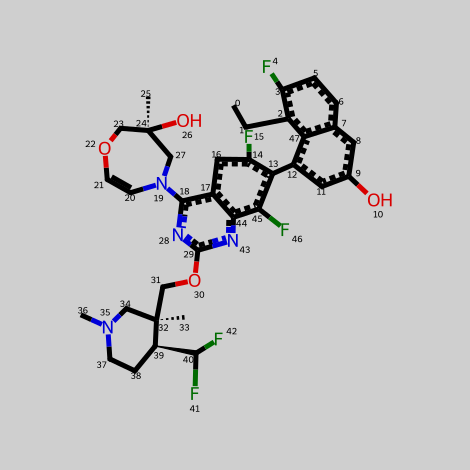 CCc1c(F)ccc2cc(O)cc(-c3c(F)cc4c(N5C=COC[C@@](C)(O)C5)nc(OC[C@]5(C)CN(C)CC[C@@H]5C(F)F)nc4c3F)c12